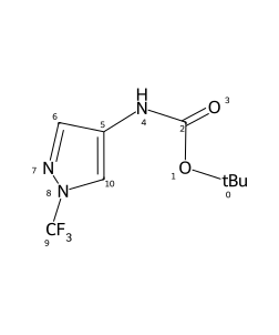 CC(C)(C)OC(=O)Nc1cnn(C(F)(F)F)c1